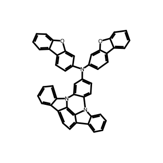 c1ccc2c(c1)oc1cc(N(c3ccc4c(c3)oc3ccccc34)c3ccc4c(c3)n3c5ccccc5c5ccc6c7ccccc7n4c6c53)ccc12